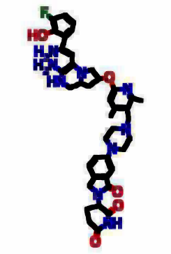 Cc1cc(OC2CC3CNC(N)=C(/C=C(\N)c4cccc(F)c4O)N3C2)nc(C)c1CN1CCN(c2ccc3c(c2)C(=O)N(C2CCC(=O)NC2=O)C3)CC1